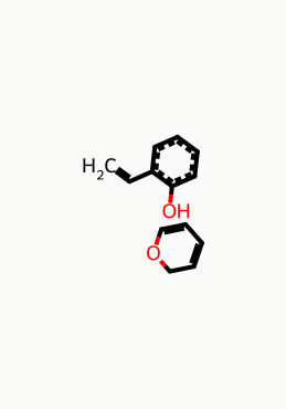 C1=CCOC=C1.C=Cc1ccccc1O